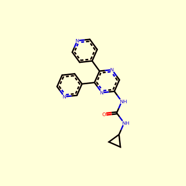 O=C(Nc1cnc(-c2ccncc2)c(-c2cccnc2)n1)NC1CC1